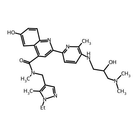 CCn1ncc(CN(C)C(=O)c2cc(-c3ccc(NCC(O)CN(C)C)c(C)n3)nc3ccc(O)cc23)c1C